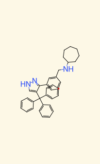 c1ccc(C(c2ccccc2)(c2ccccc2)c2c[nH]nc2-c2cccc(CNC3CCCCCC3)c2)cc1